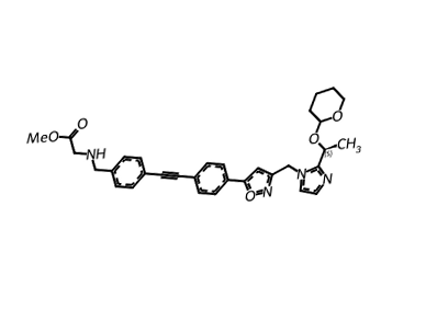 COC(=O)CNCc1ccc(C#Cc2ccc(-c3cc(Cn4ccnc4[C@H](C)OC4CCCCO4)no3)cc2)cc1